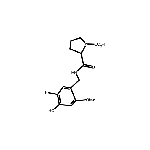 COc1cc(O)c(F)cc1CNC(=O)C1CCCN1C(=O)O